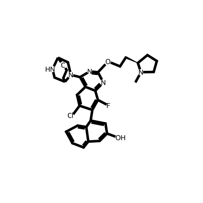 CN1CCC[C@@H]1CCOc1nc(N2CC3CCCC2CN3)c2cc(Cl)c(-c3cc(O)cc4ccccc34)c(F)c2n1